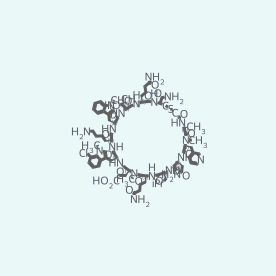 CC(C)C[C@@H]1NC(=O)[C@H](CC(N)=O)NC(=O)[C@H](Cc2cccnc2)N(C)C(=O)[C@@H](C)NC(=O)CSCC(C(N)=O)NC(=O)[C@H](CCCC(N)=O)NC(=O)[C@H]([C@@H](C)O)NC(=O)[C@H](Cc2cn(C)c3ccccc23)NC(=O)[C@H](CCCCN)NC(=O)[C@H](Cc2cn(C)c3c(Cl)cccc23)NC(=O)[C@H](CCC(=O)O)N(C)C(=O)[C@H](CCCC(N)=O)NC1=O